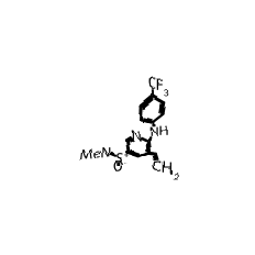 C=Cc1cc([S+]([O-])NC)cnc1Nc1ccc(C(F)(F)F)cc1